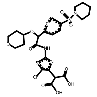 O=C(Nc1nc(C(C(=O)O)C(=O)O)c(Cl)s1)C(OC1CCOCC1)c1ccc(S(=O)(=O)N2CCCCC2)cc1